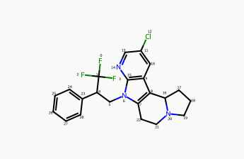 FC(F)(F)C(Cn1c2c(c3cc(Cl)cnc31)C1CCCN1CC2)c1ccccc1